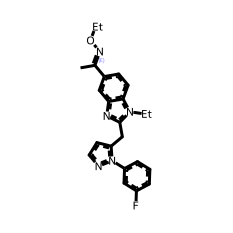 CCO/N=C(\C)c1ccc2c(c1)nc(Cc1ccnn1-c1cccc(F)c1)n2CC